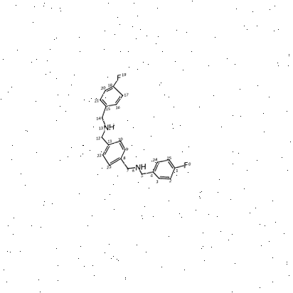 Fc1ccc(CNCc2ccc(CNCc3ccc(F)cc3)cc2)cc1